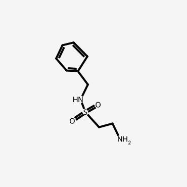 NCCS(=O)(=O)NCc1ccccc1